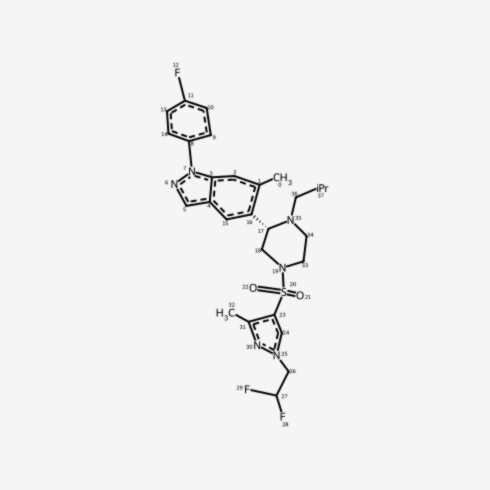 Cc1cc2c(cnn2-c2ccc(F)cc2)cc1[C@H]1CN(S(=O)(=O)c2cn(CC(F)F)nc2C)CCN1CC(C)C